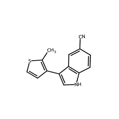 Cc1sccc1-c1c[nH]c2ccc(C#N)cc12